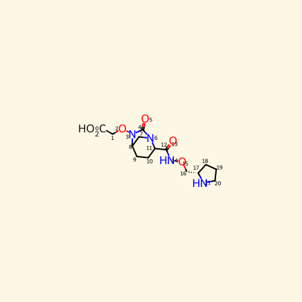 O=C(O)CON1C(=O)N2CC1CCC2C(=O)NOC[C@@H]1CCCN1